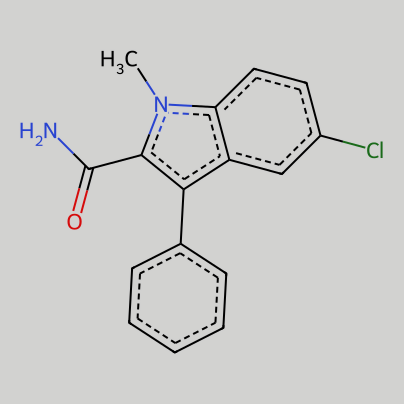 Cn1c(C(N)=O)c(-c2ccccc2)c2cc(Cl)ccc21